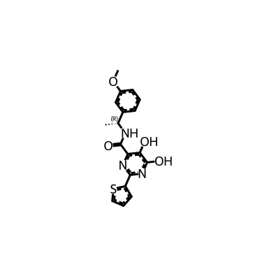 COc1cccc([C@@H](C)NC(=O)c2nc(-c3cccs3)nc(O)c2O)c1